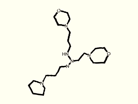 C1CCN(CCC[N]N(CCN2CCOCC2)NCCCN2CCOCC2)CC1